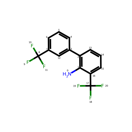 Nc1c(-c2cccc(C(F)(F)F)c2)cccc1C(F)(F)F